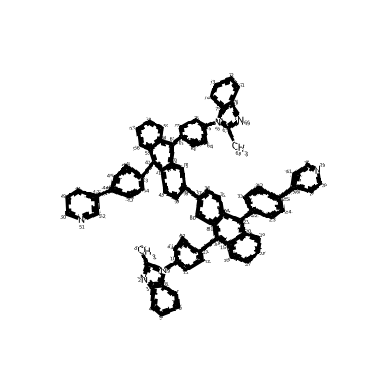 Cc1nc2ccccc2n1-c1ccc(-c2c3ccccc3c(-c3ccc(-c4ccncc4)cc3)c3ccc(-c4ccc5c(-c6ccc(-c7cccnc7)cc6)c6ccccc6c(-c6ccc(-n7c(C)nc8ccccc87)cc6)c5c4)cc23)cc1